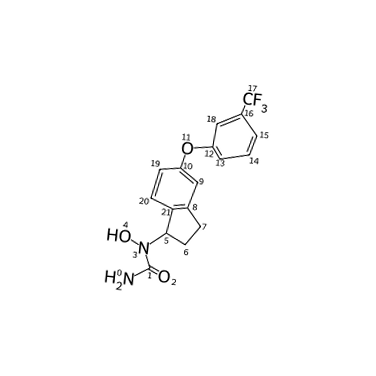 NC(=O)N(O)C1CCc2cc(Oc3cccc(C(F)(F)F)c3)ccc21